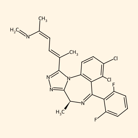 C=N/C(C)=C\C=C(/C)c1nnc2n1-c1ccc(Cl)c(Cl)c1C(c1c(F)cccc1F)=N[C@H]2C